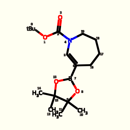 CC(C)(C)OC(=O)N1C=C(B2OC(C)(C)C(C)(C)O2)CCCC1